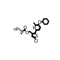 CCCN(C)C(=O)OCc1cc(Cl)sc1-c1ccc(OC2CCCCC2)c(C)n1